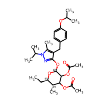 CC[C@H]1O[C@@H](Oc2nn(C(C)C)c(C)c2Cc2ccc(OC(C)C)cc2)C(OC(C)=O)C(OC(C)=O)[C@@H]1C